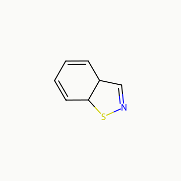 C1=CC2C=NSC2C=C1